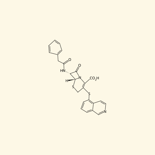 O=C(Cc1ccccc1)N[C@@H]1C(=O)N2C(C(=O)O)=C(Sc3cccc4cnccc34)CS[C@H]12